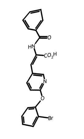 O=C(O)/C(=C\c1ccc(Oc2ccccc2Br)nc1)NC(=O)c1ccccc1